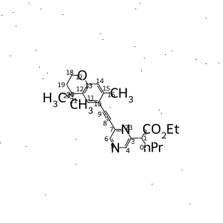 CCCC(C(=O)OCC)c1cncc(C#Cc2cc3c(cc2C)OCCC3(C)C)n1